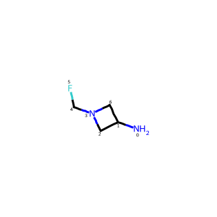 NC1CN(CF)C1